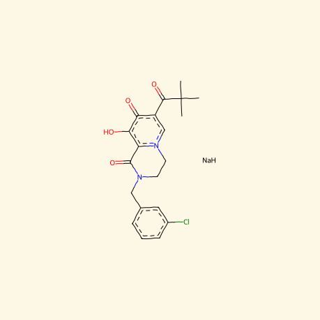 CC(C)(C)C(=O)c1cn2c(c(O)c1=O)C(=O)N(Cc1cccc(Cl)c1)CC2.[NaH]